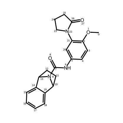 COc1ccc(NC(=O)N2C3CCC2c2ccccc23)cc1N1CCCC1=O